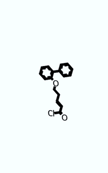 O=C(Cl)C=CCCOc1ccccc1-c1ccccc1